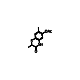 CC(=O)Oc1cc2c(cc1C)SC(C)C(=O)N2